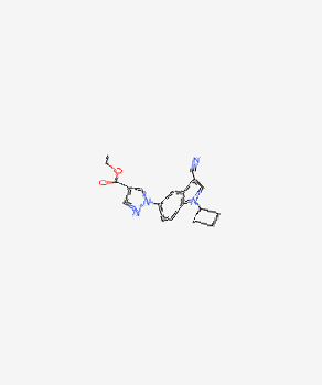 CCOC(=O)c1cnn(-c2ccc3c(c2)c(C#N)cn3C2CCC2)c1